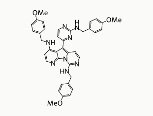 COc1ccc(CNc2nccc(-c3c4c(NCc5ccc(OC)cc5)ccnc4n4c(NCc5ccc(OC)cc5)nccc34)n2)cc1